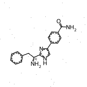 NC(=O)c1ccc(-c2c[nH]c([C@@H](N)Cc3ccccc3)n2)cc1